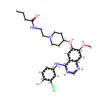 CCCC(=O)NCCN1CCC(Oc2cc3c(Nc4ccc(F)c(Cl)c4)ncnc3cc2OC)CC1